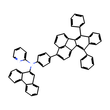 c1ccc(-c2c3c(c(-c4ccccc4)c4ccccc24)-c2ccc(-c4ccc(N(c5ccccn5)c5cc6ccccc6c6ccccc56)cc4)c4cccc-3c24)cc1